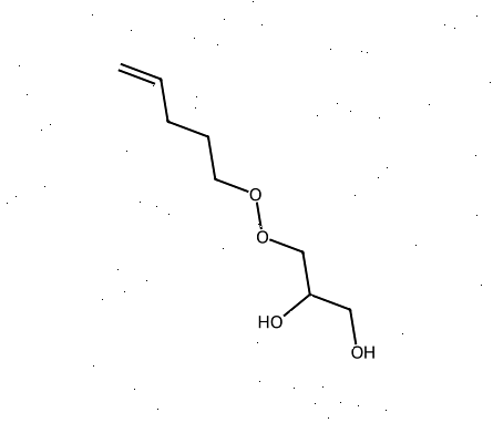 C=CCCCOOCC(O)CO